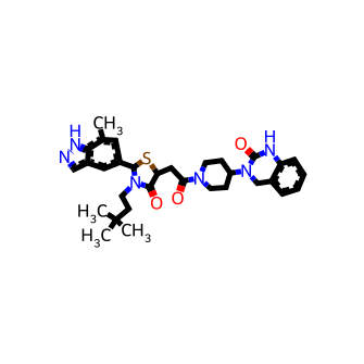 Cc1cc(C2SC(CC(=O)N3CCC(N4Cc5ccccc5NC4=O)CC3)C(=O)N2CCC(C)(C)C)cc2cn[nH]c12